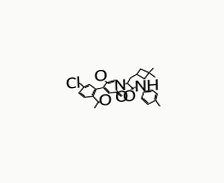 COc1cn(C(CC2CC(C)(C)C2)C(=O)Nc2ccc(C)cc2)c(=O)cc1-c1cc(Cl)ccc1C(C)=O